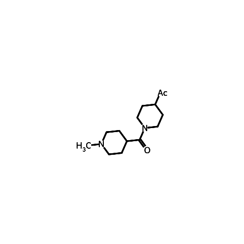 CC(=O)C1CCN(C(=O)C2CCN(C)CC2)CC1